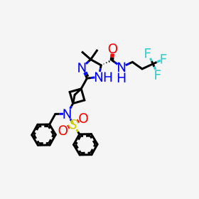 CC1(C)N=C(C23CC(N(Cc4ccccc4)S(=O)(=O)c4ccccc4)(C2)C3)N[C@H]1C(=O)NCCC(F)(F)F